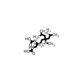 CC(C)CC(CC[C@@H](CNC(=O)O)NC(=O)O)(CC(C)C)N(C)C